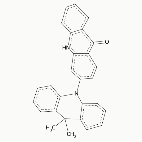 CC1(C)c2ccccc2N(c2ccc3c(=O)c4ccccc4[nH]c3c2)c2ccccc21